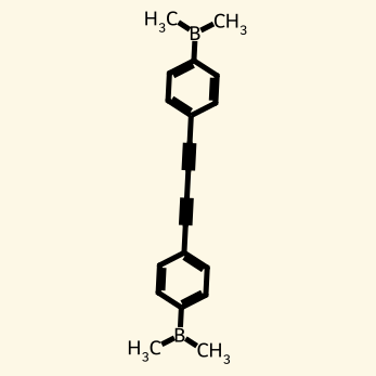 CB(C)c1ccc(C#CC#Cc2ccc(B(C)C)cc2)cc1